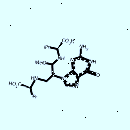 COC(N[C@H](C(=O)O)C(C)C)C(CN[C@H](C(=O)O)C(C)C)n1cnc2c(=O)[nH]c(N)nc21